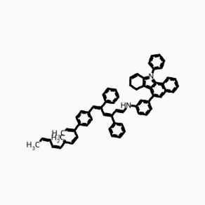 C=C(/C=C\C=C/C)/C=C\C(=C/C)c1ccc(\C=C(/C=C(\C=C\Nc2cccc(-c3cc4ccccc4c4c3c3c(n4-c4ccccc4)C=CCC3)c2)c2ccccc2)c2ccccc2)cc1